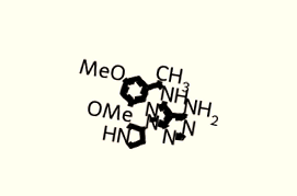 COc1cc(OC)cc(C(C)Nc2nn([C@H]3CCNC3)c3ncnc(N)c23)c1